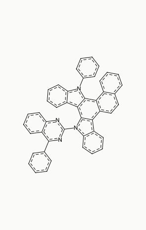 c1ccc(-c2nc(-n3c4ccccc4c4c5ccc6ccccc6c5c5c(c6ccccc6n5-c5ccccc5)c43)nc3ccccc23)cc1